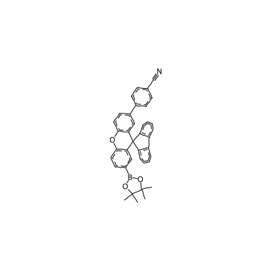 CC1(C)OB(c2ccc3c(c2)C2(c4cc(-c5ccc(C#N)cc5)ccc4O3)c3ccccc3-c3ccccc32)OC1(C)C